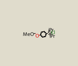 COCOc1ccc([Si](Cl)(C(C)C)C(C)C)cc1